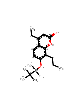 CCCc1c(O[Si](C)(C)C(C)(C)C)ccc2c(CC)cc(=O)oc12